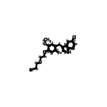 COc1cc(Cc2c[nH]c3ncc(Cl)cc23)c(F)cc1OCCOCCBr